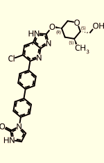 C[C@H]1C[C@@H](Oc2nc3nc(-c4ccc(-c5ccc(-n6cc[nH]c6=O)cc5)cc4)c(Cl)cc3[nH]2)CO[C@@H]1CO